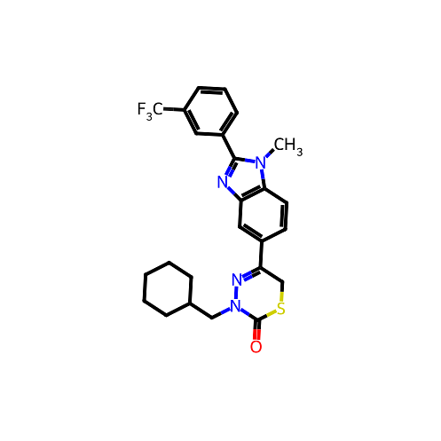 Cn1c(-c2cccc(C(F)(F)F)c2)nc2cc(C3=NN(CC4CCCCC4)C(=O)SC3)ccc21